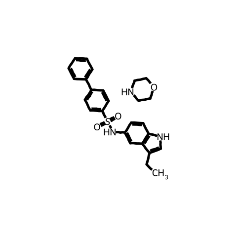 C1COCCN1.CCc1c[nH]c2ccc(NS(=O)(=O)c3ccc(-c4ccccc4)cc3)cc12